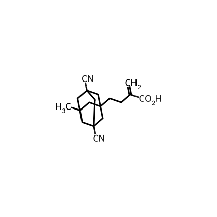 C=C(CCC12CC3(C)CC(C#N)(CC(C#N)(C3)C1)C2)C(=O)O